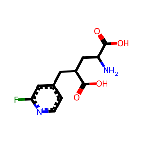 NC(CC(Cc1ccnc(F)c1)C(=O)O)C(=O)O